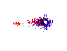 CCCC[C@H](NC(=O)[C@H](CN)NC(=O)[C@H](Cc1c[nH]cn1)NC(=O)[C@H](CCC(N)=O)NC(=O)[C@H](CO)NC(=O)CNC(=O)COCCOCCNC(=O)CCCCCCCCCCCCCCC(=O)O)C(=O)N[C@H]1CCC(=O)NCCCC[C@@H](C(C)=O)NC(=O)[C@H](Cc2c[nH]c3ccccc23)NC(=O)[C@H](CCCNC(=N)N)NC(=O)[C@@H](Cc2ccccc2)NC(=O)[C@@H]2C[C@@H](O)CN2C1=O